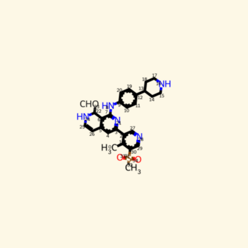 Cc1c(-c2cc3c(c(Nc4ccc(C5CCNCC5)cc4)n2)C(C=O)NC=C3)cncc1S(C)(=O)=O